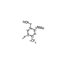 CNc1cc(C(F)(F)F)c(F)cc1CO